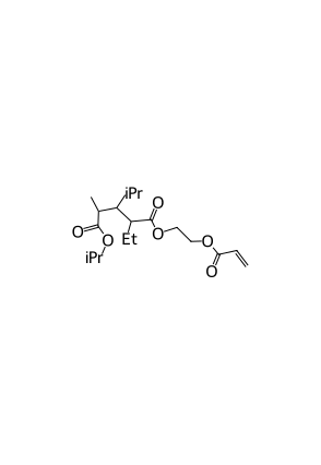 C=CC(=O)OCCOC(=O)C(CC)C(C(C)C)C(C)C(=O)OC(C)C